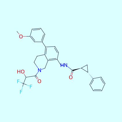 COc1cccc(-c2ccc(CNC(=O)[C@H]3C[C@@H]3c3ccccc3)c3c2CCN(C(=O)C(O)C(F)(F)F)C3)c1